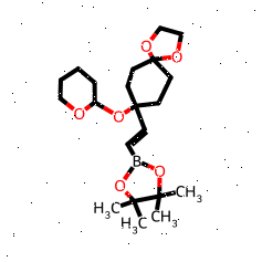 CC1(C)OB(/C=C/C2(OC3CCCCO3)CCC3(CC2)OCCO3)OC1(C)C